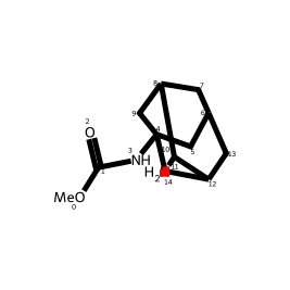 COC(=O)NC12CC3CC(C1)C(N)C(C3)C2